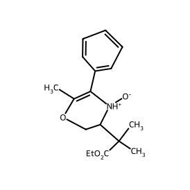 CCOC(=O)C(C)(C)C1COC(C)=C(c2ccccc2)[NH+]1[O-]